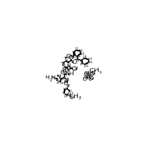 C=CC1=C(C(=O)OC(c2ccccc2)c2ccccc2)N2C(=O)C(NC(=O)C(=NOCc3ccc[n+](C)c3)c3csc(N)n3)[C@@H]2SC1.COS(=O)(=O)[O-]